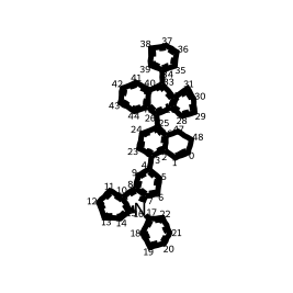 C1=Cc2c(-c3ccc4c(c3)c3ccccc3n4-c3ccccc3)ccc(-c3c4ccccc4c(-c4ccccc4)c4ccccc34)c2CC1